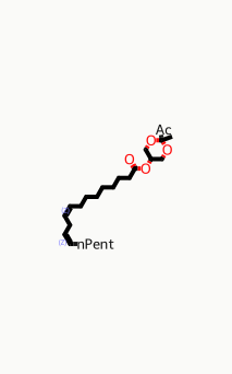 CCCCC/C=C\C/C=C\CCCCCCCC(=O)OC1COC(C)(C(C)=O)OC1